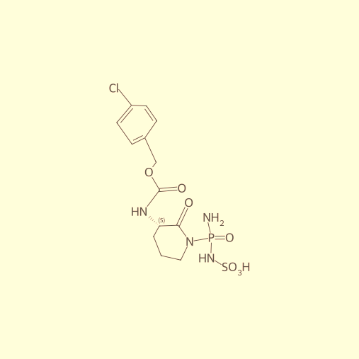 NP(=O)(NS(=O)(=O)O)N1CCC[C@H](NC(=O)OCc2ccc(Cl)cc2)C1=O